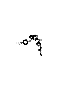 CCOC(=O)Cn1cc(Nc2ncc3ccn(C[C@H]4CC[C@H](N)CC4)c3n2)cn1